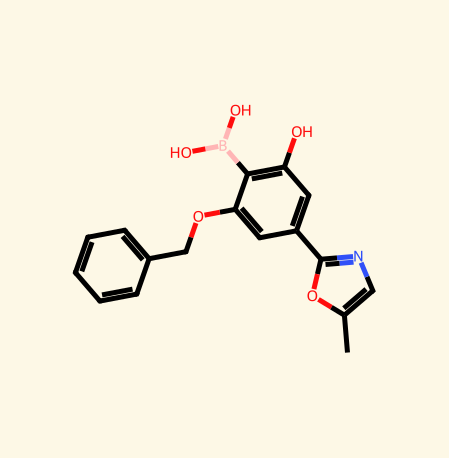 Cc1cnc(-c2cc(O)c(B(O)O)c(OCc3ccccc3)c2)o1